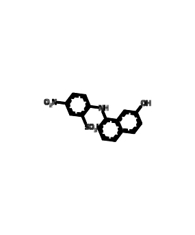 O=[N+]([O-])c1ccc(Nc2cccc3ccc(O)cc23)c(S(=O)(=O)O)c1